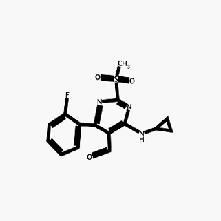 CS(=O)(=O)c1nc(NC2CC2)c(C=O)c(-c2ccccc2F)n1